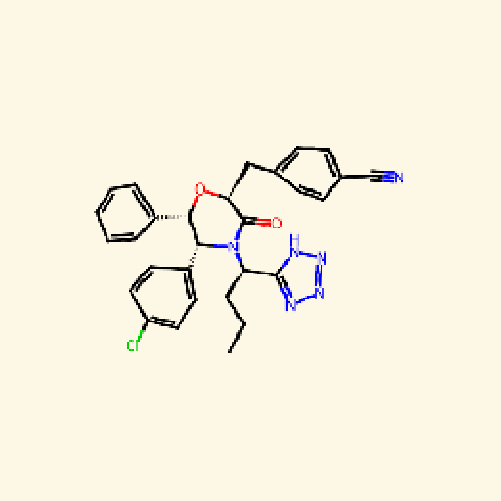 CCC[C@H](c1nnn[nH]1)N1C(=O)[C@H](Cc2ccc(C#N)cc2)O[C@@H](c2ccccc2)[C@H]1c1ccc(Cl)cc1